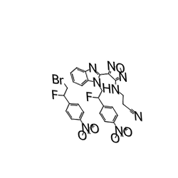 N#CCCNc1nonc1-c1nc2ccccc2n1CC(F)c1ccc([N+](=O)[O-])cc1.O=[N+]([O-])c1ccc(C(F)CBr)cc1